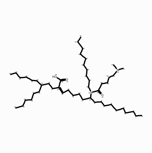 CCCCCCCCCCC(CCCCC=C(CCC(CCCCCC)CCCCCC)C(=O)O)N(CCCCCCCCCC)C(=O)CCCCN(C)C